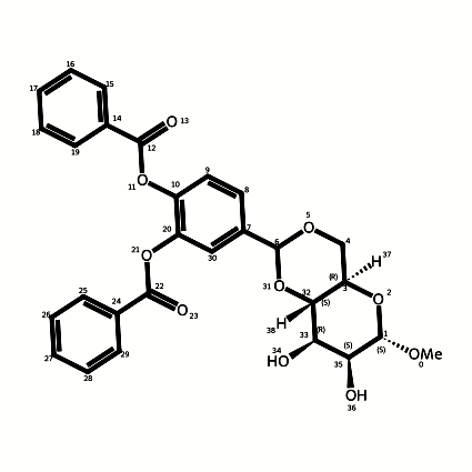 CO[C@H]1O[C@@H]2COC(c3ccc(OC(=O)c4ccccc4)c(OC(=O)c4ccccc4)c3)O[C@H]2[C@H](O)[C@@H]1O